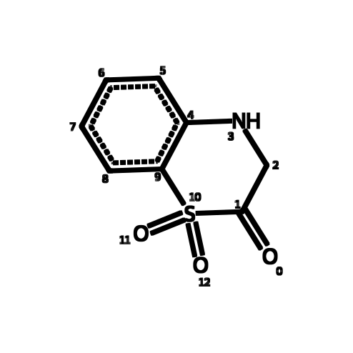 O=C1CNc2ccccc2S1(=O)=O